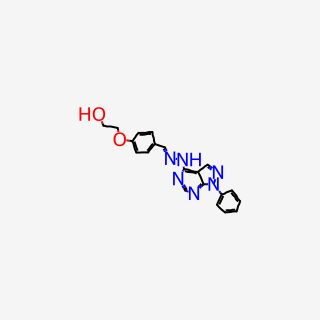 OCCOc1ccc(C=NNc2ncnc3c2cnn3-c2ccccc2)cc1